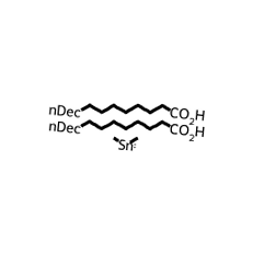 CCCCCCCCCCCCCCCCCC(=O)O.CCCCCCCCCCCCCCCCCC(=O)O.[CH3][Sn][CH3]